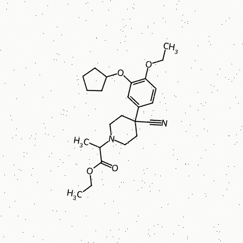 CCOC(=O)C(C)N1CCC(C#N)(c2ccc(OCC)c(OC3CCCC3)c2)CC1